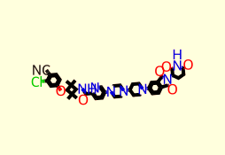 CC1(C)[C@H](NC(=O)c2ccc(N3CCN(C4CCN(c5ccc6c(c5)C(=O)N(C5CCC(=O)NC5=O)C6=O)CC4)CC3)cn2)C(C)(C)[C@H]1Oc1ccc(C#N)c(Cl)c1